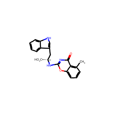 Cc1cccc2oc(N[C@@H](Cc3c[nH]c4ccccc34)C(=O)O)nc(=O)c12